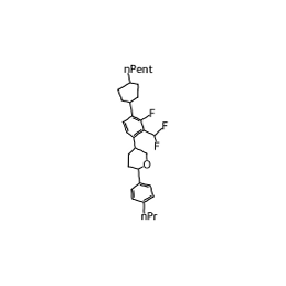 CCCCCC1CCC(c2ccc(C3CCC(c4ccc(CCC)cc4)OC3)c(C(F)F)c2F)CC1